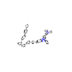 c1ccc(-c2ccc(-c3ccc(-c4cccc(-c5cccc(-c6ccc(-c7ccc(-c8ccc(-n9c%10ccccc%10c%10cc(-c%11ccc%12c(c%11)c%11ccccc%11n%12-c%11ccccc%11)ccc%109)cc8)cc7)cc6)c5)c4)cc3)cc2)cc1